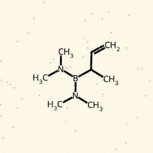 C=CC(C)B(N(C)C)N(C)C